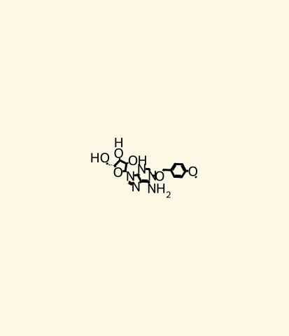 COc1ccc(CON2CN=c3c(ncn3[C@@H]3O[C@H](CO)[C@@H](O)[C@H]3O)=C2N)cc1